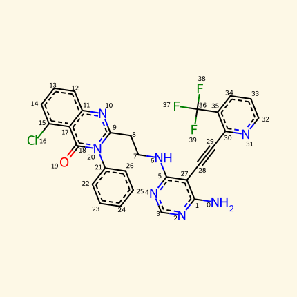 Nc1ncnc(NCCc2nc3cccc(Cl)c3c(=O)n2-c2ccccc2)c1C#Cc1ncccc1C(F)(F)F